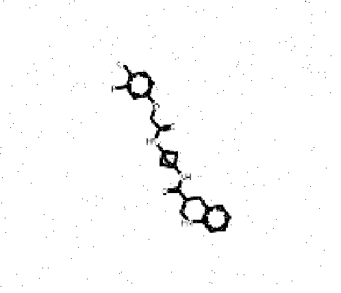 O=C(COc1ccc(Cl)c(F)c1)NC12CC(NC(=O)C3CNc4ccccc4C3)(C1)C2